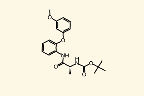 COc1cccc(Oc2ccccc2NC(=O)[C@H](C)NC(=O)OC(C)(C)C)c1